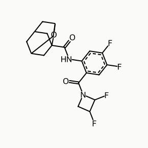 O=C(c1cc(F)c(F)cc1NC(=O)C12CC3CC(CC(C3)O1)C2)N1CC(F)C1F